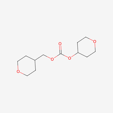 O=C(OCC1CCOCC1)OC1CCOCC1